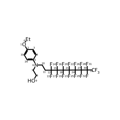 CCOc1ccc(N(CCO)CCC(F)(F)C(F)(F)C(F)(F)C(F)(F)C(F)(F)C(F)(F)C(F)(F)C(F)(F)F)cc1